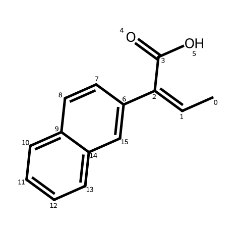 CC=C(C(=O)O)c1ccc2ccccc2c1